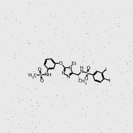 CCn1c(Oc2cccc(NS(C)(=O)=O)c2)nnc1[C@@H](C)NS(=O)(=O)c1ccc(I)c(I)c1